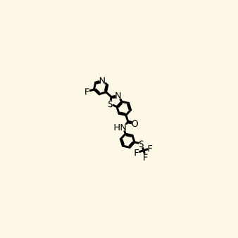 O=C(Nc1cccc(SC(F)(F)F)c1)c1ccc2nc(-c3cncc(F)c3)sc2c1